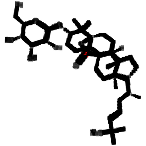 COC(C)(C)/C=C/C[C@@H](C)[C@H]1CC[C@@]2(C)[C@@H]3CC[C@@]45OC(=O)[C@]3(CC[C@]12C)[C@@H]4CC[C@H](O[C@@H]1O[C@H](CO)[C@@H](O)[C@@H](O)[C@H]1O)C5(C)C